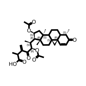 C=C(C(=O)[C@H](OC(C)=O)[C@@H](C)[C@H]1[C@@H](OC(C)=O)C[C@@]2(C)C3CCC4[C@H](C)C(=O)C=C[C@@]45C[C@@]35CC[C@]12C)C(C)C(=O)O